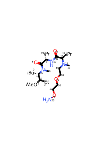 CCC(C)[C@@H](C(CC)OC)N(C)C(=O)[C@@H](NC(=O)C(C(C)C)N(C)CCOCCON)C(C)C